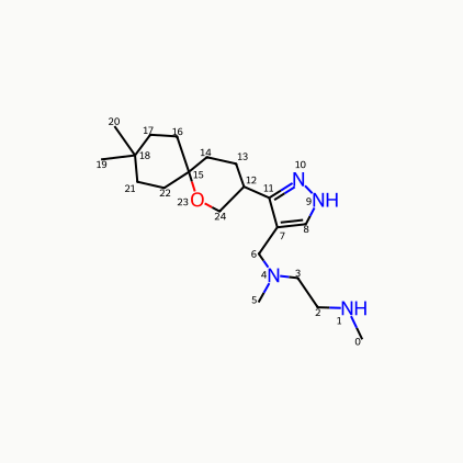 CNCCN(C)Cc1c[nH]nc1C1CCC2(CCC(C)(C)CC2)OC1